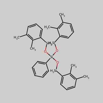 Cc1cccc([SiH2]O[Si](O[SiH2]c2cccc(C)c2C)(O[SiH2]c2cccc(C)c2C)c2ccccc2)c1C